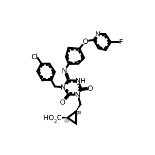 O=C(O)[C@@H]1C[C@@H]1Cn1c(=O)[nH]c(=Nc2ccc(Oc3ccc(F)cn3)cc2)n(Cc2ccc(Cl)cc2)c1=O